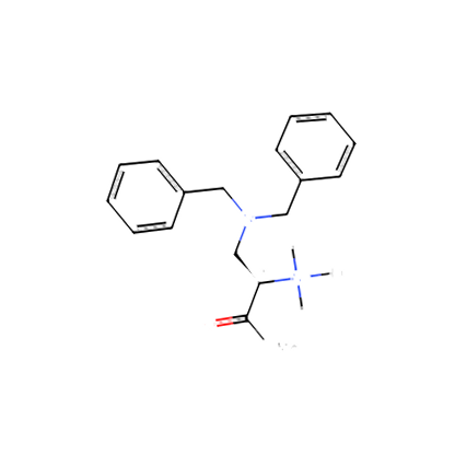 CC[N+](CC)(CC)[C@H](CN(Cc1ccccc1)Cc1ccccc1)C(=O)OC